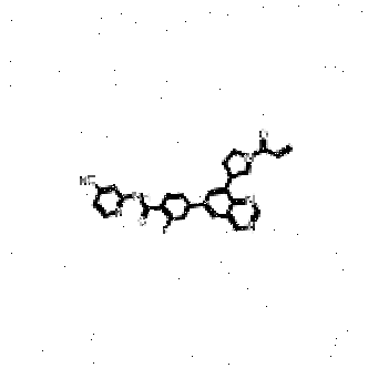 C=CC(=O)N1CCC(c2cc(-c3ccc(C(=O)Nc4cc(C#N)ccn4)c(F)c3)cc3cncnc23)C1